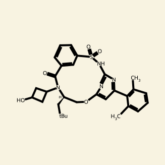 Cc1cccc(C)c1-c1cc2nc(n1)NS(=O)(=O)c1cccc(c1)C(=O)N(C1CC(O)C1)[C@H](CC(C)(C)C)CO2